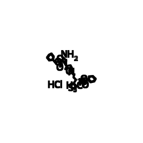 CN(C[C@@H](CCN1CCC(N(CC(N)=O)C(=O)OCc2ccccc2)CC1)c1ccsc1)S(=O)(=O)c1ccccc1.Cl